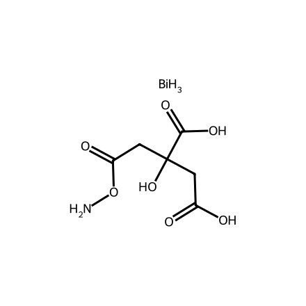 NOC(=O)CC(O)(CC(=O)O)C(=O)O.[BiH3]